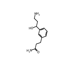 NCCC(O)c1cccc(CCC(N)=O)c1